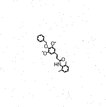 COc1cc(/C=C/C(=O)Nc2c(C)cccc2C)cc(OC)c1OCc1ccccc1